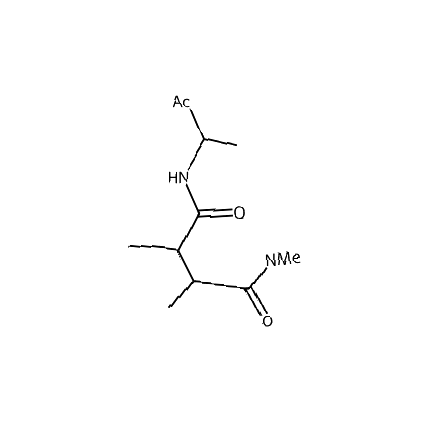 CNC(=O)C(C)C(C)C(=O)NC(C)C(C)=O